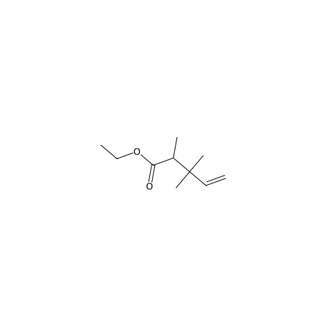 C=CC(C)(C)C(C)C(=O)OCC